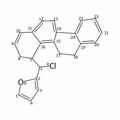 ClC(c1ccco1)C1CC=Cc2ccc3c(c21)CCc1ccccc1-3